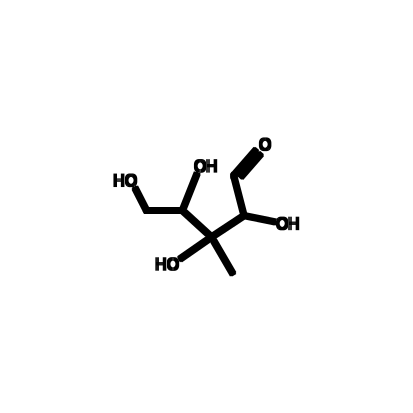 CC(O)(C(O)C=O)C(O)CO